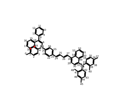 Cc1ccc(N(C=C(c2ccccc2)c2ccccc2)c2ccc(/C=C/C=C/c3ccc(N(c4ccc(C)cc4C)c4ccc(C)cc4C)c4ccccc34)cc2)cc1